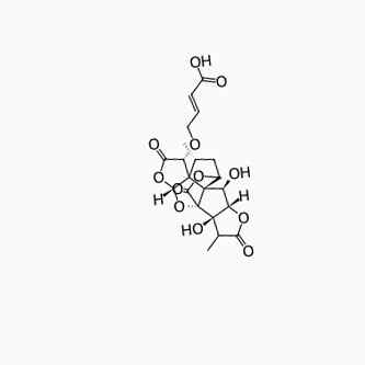 CC1C(=O)O[C@H]2[C@H](O)[C@@]34C5C[C@@H](C)C36[C@@H](OC(=O)[C@@H]6OC/C=C/C(=O)O)O[C@@]4(C(=O)O5)[C@@]12O